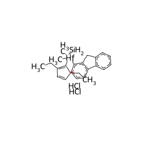 CCC1=[C]([Hf]([CH3])([CH3])(=[SiH2])[c]2cccc3c2Cc2ccccc2-3)C(CC)C=C1.Cl.Cl